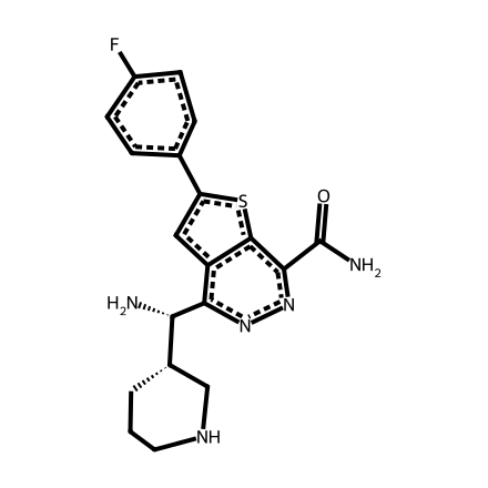 NC(=O)c1nnc([C@@H](N)[C@H]2CCCNC2)c2cc(-c3ccc(F)cc3)sc12